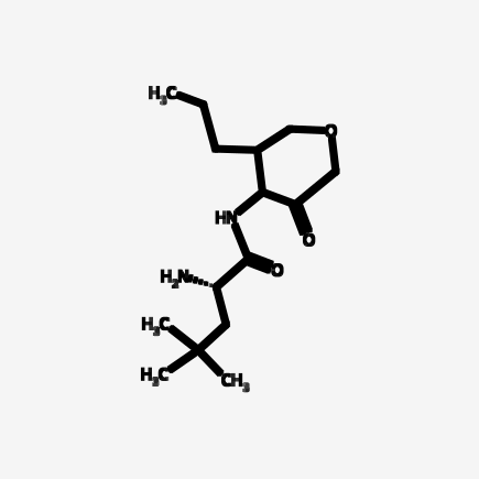 CCCC1COCC(=O)C1NC(=O)[C@@H](N)CC(C)(C)C